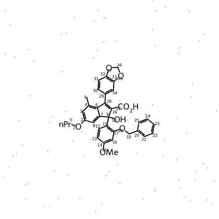 CCCOc1cc(C)c2c(c1)C(O)(c1ccc(OC)cc1OCc1ccccc1)C(C(=O)O)=C2c1ccc2c(c1)OCO2